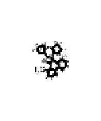 Cc1cccc2c3ccccc3c3c(nc(-c4ccccc4)n3-c3c(C(C)C)cccc3C(C)C)c12